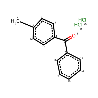 Cc1ccc(C(=O)c2ccccc2)cc1.Cl.Cl